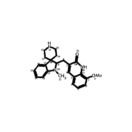 COc1cccc2cc(CC3N(C)c4ccccc4C34CCNCC4)c(=O)[nH]c12